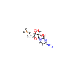 C=C1N=C(N)C=CN1[C@@H]1O[C@H](CCP(=C)(C)C)[C@@H](O)[C@]1(C)O